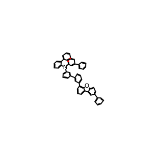 c1ccc(-c2cccc(N(c3cccc(-c4cccc(-c5cccc6c5oc5ccc(-c7ccccc7)cc56)c4)c3)c3ccccc3-c3ccccc3)c2)cc1